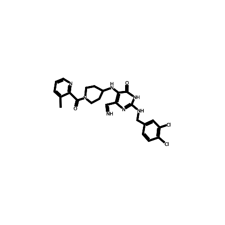 Cc1cccnc1C(=O)N1CCC(Nc2c(C=N)nc(NCc3ccc(Cl)c(Cl)c3)[nH]c2=O)CC1